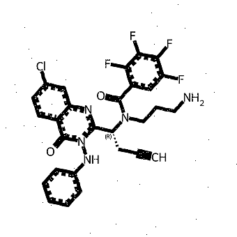 C#CC[C@H](c1nc2cc(Cl)ccc2c(=O)n1Nc1ccccc1)N(CCCN)C(=O)c1cc(F)c(F)c(F)c1F